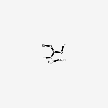 CC(=O)O.CCON(OCC)OCC